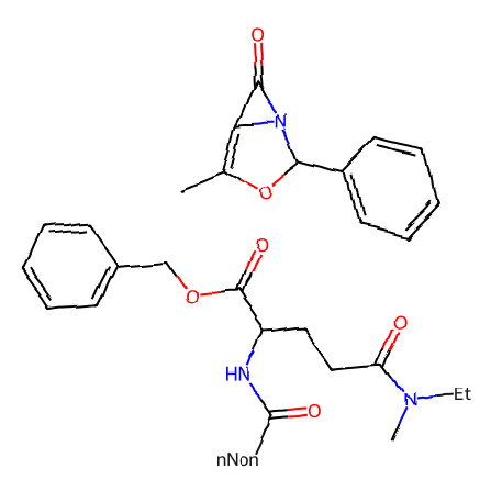 CC1=C2C(=O)N2C(c2ccccc2)O1.CCCCCCCCCC(=O)NC(CCC(=O)N(C)CC)C(=O)OCc1ccccc1